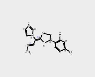 C/N=C/C(=C1/SC[C@@H](c2ccc(Cl)cc2Cl)S1)n1ccnc1